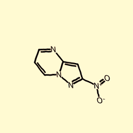 O=[N+]([O-])c1cc2ncccn2n1